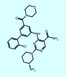 NC(=O)c1cnc(N2CCC[C@H](N)C2)nc1Nc1cc(C(=O)N2CCOCC2)cc(-c2ccccc2Cl)c1